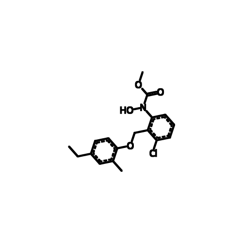 CCc1ccc(OCc2c(Cl)cccc2N(O)C(=O)OC)c(C)c1